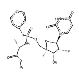 CC(C)OC(=O)[C@H](C)NP(=O)(OC[C@@]1(C)O[C@@H](n2ccc(=O)[nH]c2=O)[C@H](F)[C@@H]1O)Oc1ccccc1